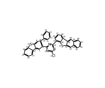 Clc1nc(-c2cc3c(cc2-c2ccccc2)sc2ccccc23)nc(-c2cccc3c2sc2cc4ccccc4cc23)n1